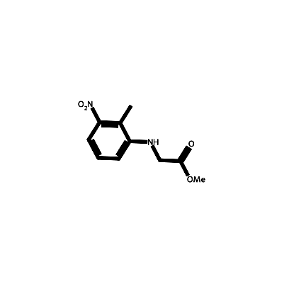 COC(=O)CNc1cccc([N+](=O)[O-])c1C